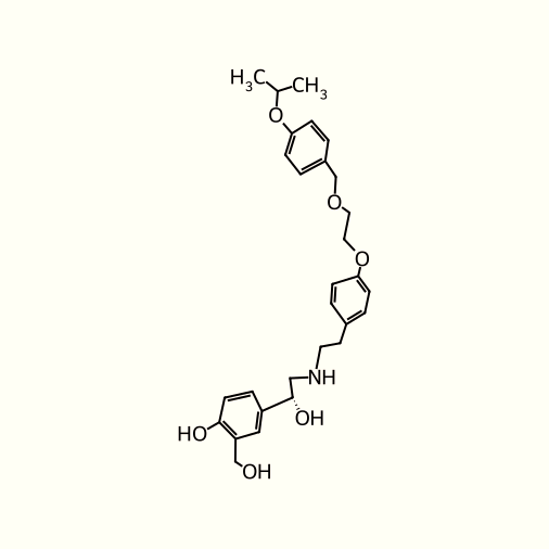 CC(C)Oc1ccc(COCCOc2ccc(CCNC[C@H](O)c3ccc(O)c(CO)c3)cc2)cc1